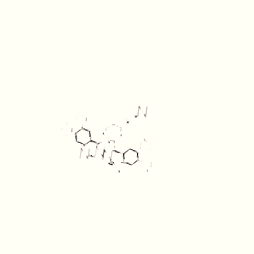 COc1cc2ncnc(C3CC(C(C)(C)C#N)CCN3c3ncnc4cc(OC)c(OC)cc34)c2cc1OC